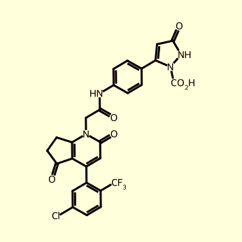 O=C(Cn1c2c(c(-c3cc(Cl)ccc3C(F)(F)F)cc1=O)C(=O)CC2)Nc1ccc(-c2cc(=O)[nH]n2C(=O)O)cc1